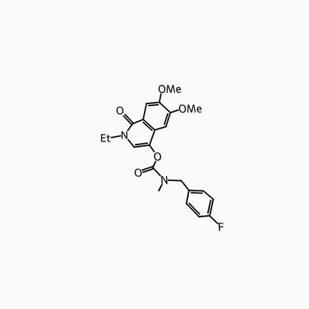 CCn1cc(OC(=O)N(C)Cc2ccc(F)cc2)c2cc(OC)c(OC)cc2c1=O